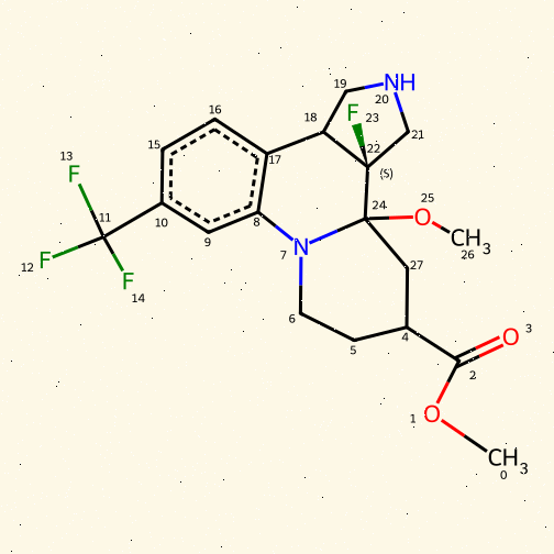 COC(=O)C1CCN2c3cc(C(F)(F)F)ccc3C3CNC[C@]3(F)C2(OC)C1